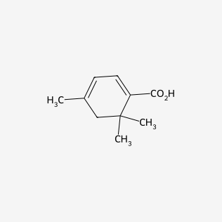 CC1=CC=C(C(=O)O)C(C)(C)C1